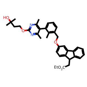 CCOC(=O)CC1c2ccccc2-c2cc(OCc3cccc(-c4c(C)nc(OCCC(C)(C)O)nc4C)c3C)ccc21